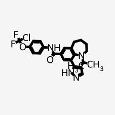 CC(C)N1CCCCc2cc(C(=O)Nc3ccc(OC(F)(F)Cl)cc3)cc(-c3ccn[nH]3)c21